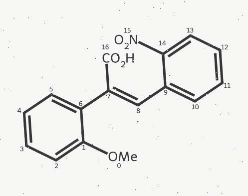 COc1ccccc1C(=Cc1ccccc1[N+](=O)[O-])C(=O)O